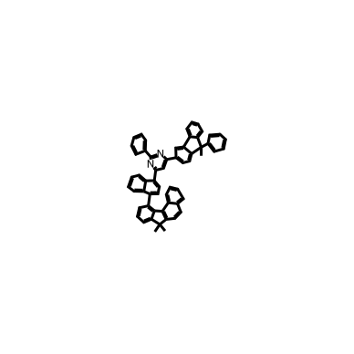 CC1(C)c2cccc(-c3ccc(-c4cc(-c5ccc6c(c5)-c5ccccc5C6(C)c5ccccc5)nc(-c5ccccc5)n4)c4ccccc34)c2-c2c1ccc1ccccc21